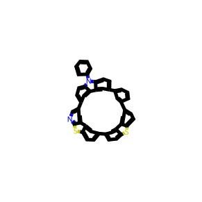 c1ccc(-n2c3ccc4cc3c3cc(ccc32)c2cnc3sc5ccc(cc5c3c2)c2ccc3sc5ccc(cc5c3c2)c2cccc4c2)cc1